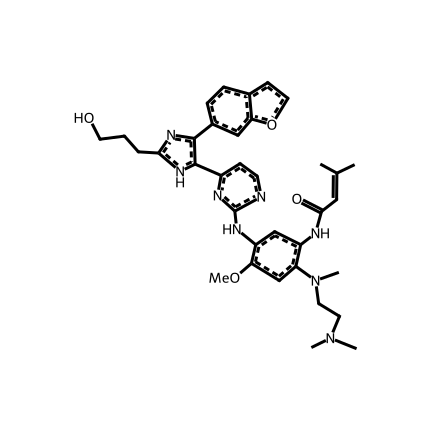 COc1cc(N(C)CCN(C)C)c(NC(=O)C=C(C)C)cc1Nc1nccc(-c2[nH]c(CCCO)nc2-c2ccc3ccoc3c2)n1